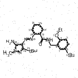 CCOc1ccc(C(C)(C)C)cc1CNC(=O)c1ccccc1/N=N/c1c(C(C)(C)C)nn(C)c1N